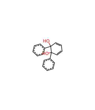 OC1(c2ccccc2)C=CC=CC1(O)c1ccccc1